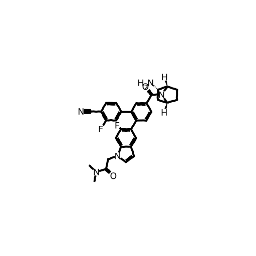 CN(C)C(=O)Cn1ccc2cc(-c3ccc(C(=O)N4[C@@H]5CC[C@H]4[C@@H](N)C5)cc3-c3ccc(C#N)c(F)c3)c(F)cc21